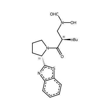 CCCC[C@H](CN(O)C=O)C(=O)N1CCC[C@H]1c1nc2ccccc2s1